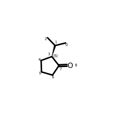 CC(C)[C@@H]1CCCC1=O